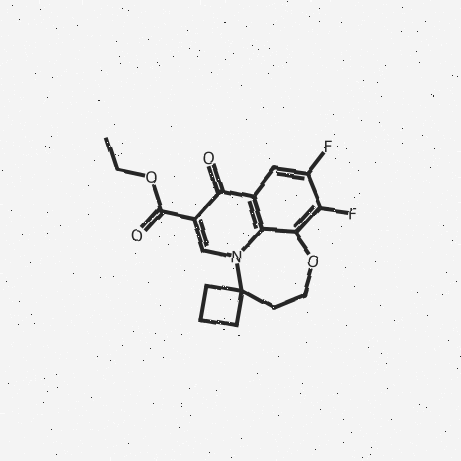 CCOC(=O)c1cn2c3c(c(F)c(F)cc3c1=O)OCCC21CCC1